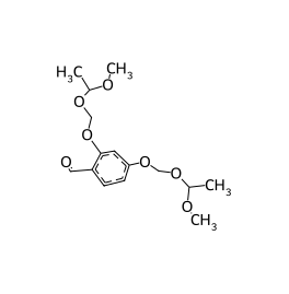 COC(C)OCOc1ccc(C=O)c(OCOC(C)OC)c1